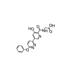 O=C(O)CNC(=O)c1ncc(-c2ccc(Oc3ccccc3)nn2)cc1O